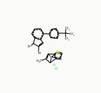 CC(C)C1=Cc2c(-c3ccc(C(C(F)(F)F)(C(F)(F)F)C(F)(F)F)cc3)cccc2[CH]1[Zr+2].CC1=C2c3sccc3C1[Si]2(C)C.[Cl-].[Cl-]